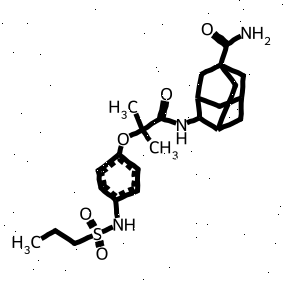 CCCS(=O)(=O)Nc1ccc(OC(C)(C)C(=O)NC2C3CC4CC2CC(C(N)=O)(C4)C3)cc1